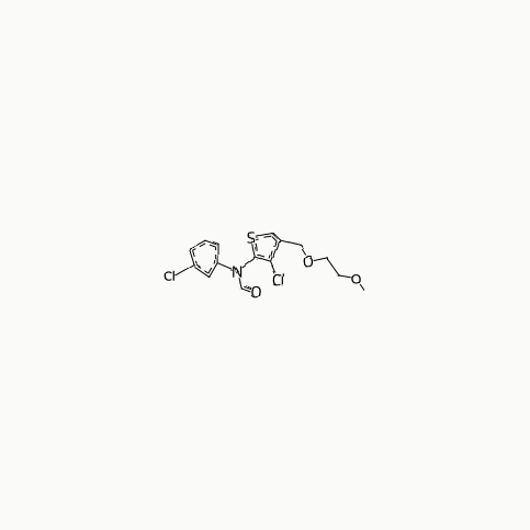 COCCOCc1csc(N(C=O)c2cccc(Cl)c2)c1Cl